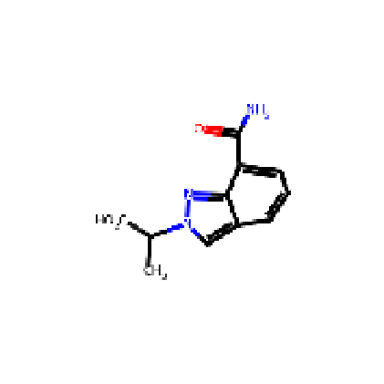 CC(C(=O)O)n1cc2cccc(C(N)=O)c2n1